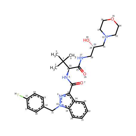 CC(C)(C)[C@H](NC(=O)c1nn(Cc2ccc(F)cc2)c2ccccc12)C(=O)NC[C@H](O)CN1CCOCC1